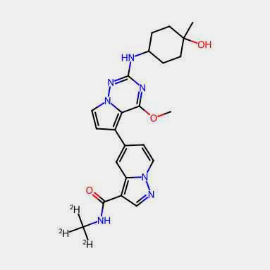 [2H]C([2H])([2H])NC(=O)c1cnn2ccc(-c3ccn4nc(NC5CCC(C)(O)CC5)nc(OC)c34)cc12